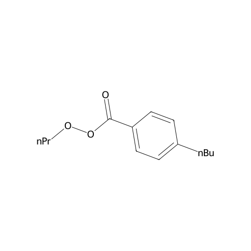 [CH2]CCOOC(=O)c1ccc(CCCC)cc1